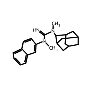 CN(C(=N)N(C)C1C2CC3CC(C2)CC1C3)c1ccc2ccccc2c1